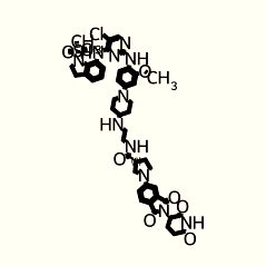 COc1cc(N2CCC(NCCNC(=O)[C@H]3CCN(c4ccc5c(c4)C(=O)N(C4CCC(=O)NC4=O)C5=O)C3)CC2)ccc1Nc1ncc(Cl)c(Nc2cccc3c2N(S(C)(=O)=O)CC3)n1